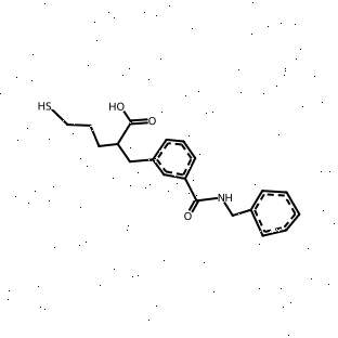 O=C(NCc1ccccc1)c1cccc(CC(CCCS)C(=O)O)c1